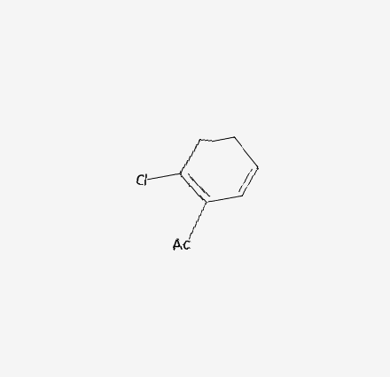 CC(=O)C1=C(Cl)CCC=C1